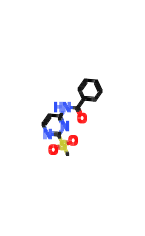 CS(=O)(=O)c1nccc(NC(=O)c2ccccc2)n1